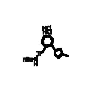 CCCC[NH][Ti][CH2]c1ccccc1C1=CC(C)=CC1.Cl.Cl